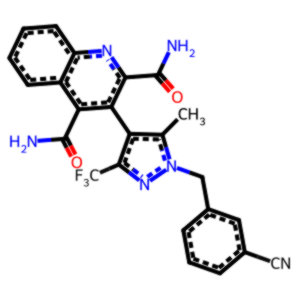 Cc1c(-c2c(C(N)=O)nc3ccccc3c2C(N)=O)c(C(F)(F)F)nn1Cc1cccc(C#N)c1